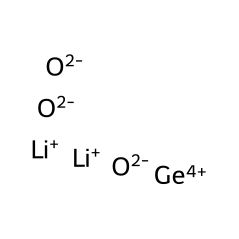 [Ge+4].[Li+].[Li+].[O-2].[O-2].[O-2]